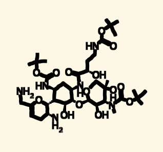 CN(C(=O)OC(C)(C)C)[C@@H]1[C@@H](O)[C@@H](O[C@H]2[C@H](NC(=O)[C@@H](O)CCNC(=O)OC(C)(C)C)C[C@H](NC(=O)OC(C)(C)C)C([C@H]3OC(CN)=CC[C@H]3N)[C@@H]2O)OC[C@]1(C)O